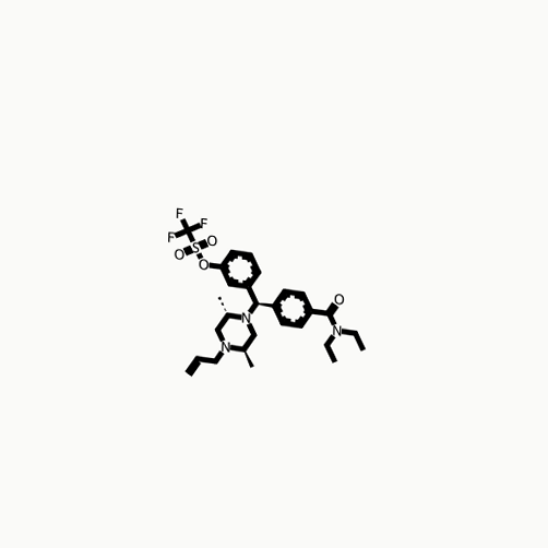 C=CCN1C[C@H](C)N([C@H](c2ccc(C(=O)N(CC)CC)cc2)c2cccc(OS(=O)(=O)C(F)(F)F)c2)C[C@H]1C